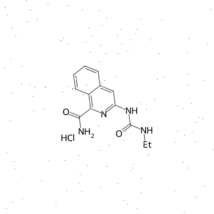 CCNC(=O)Nc1cc2ccc[c]c2c(C(N)=O)n1.Cl